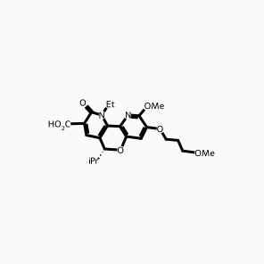 CCn1c2c(cc(C(=O)O)c1=O)[C@@H](C(C)C)Oc1cc(OCCCOC)c(OC)nc1-2